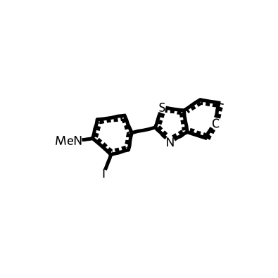 [11CH3]Nc1ccc(-c2nc3ccccc3s2)cc1I